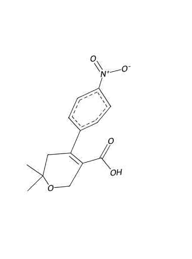 CC1(C)CC(c2ccc([N+](=O)[O-])cc2)=C(C(=O)O)CO1